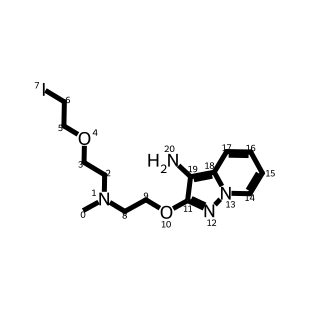 CN(CCOCCI)CCOc1nn2ccccc2c1N